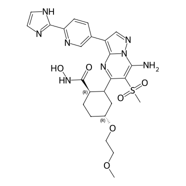 COCCO[C@@H]1CC[C@@H](C(=O)NO)C(c2nc3c(-c4ccc(-c5ncc[nH]5)nc4)cnn3c(N)c2S(C)(=O)=O)C1